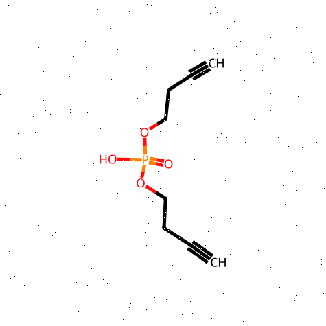 C#CCCOP(=O)(O)OCCC#C